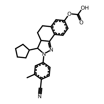 Cc1cc(N2N=C3c4ccc(OC(=O)O)cc4CCC3C2C2CCCC2)ccc1C#N